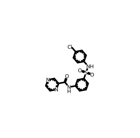 O=C(Nc1cccc(S(=O)(=O)Nc2ccc(Cl)cc2)c1)c1cnccn1